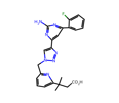 CC(C)(CC(=O)O)c1cccc(Cn2cc(-c3cc(-c4ccccc4F)nc(N)n3)nn2)n1